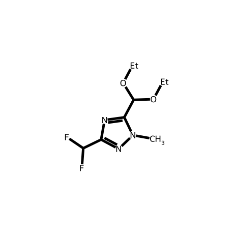 CCOC(OCC)c1nc(C(F)F)nn1C